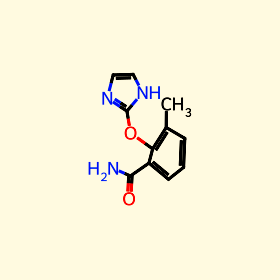 Cc1cccc(C(N)=O)c1Oc1ncc[nH]1